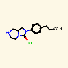 Cl.O=C(O)CCc1ccc(N2CC3CNCCN3C2=O)cc1